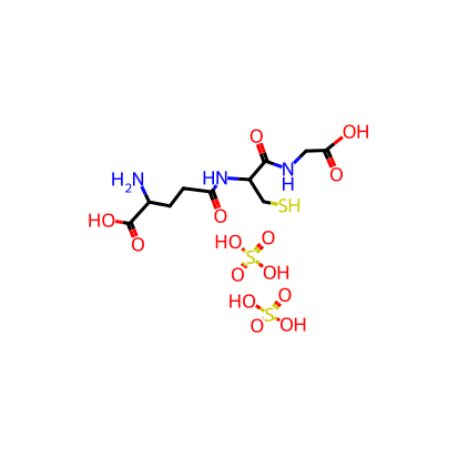 NC(CCC(=O)NC(CS)C(=O)NCC(=O)O)C(=O)O.O=S(=O)(O)O.O=S(=O)(O)O